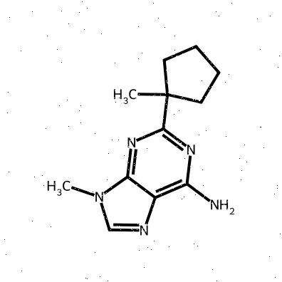 Cn1cnc2c(N)nc(C3(C)CCCC3)nc21